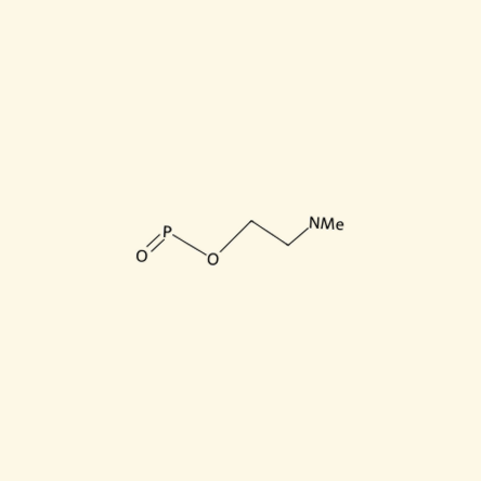 CNCCOP=O